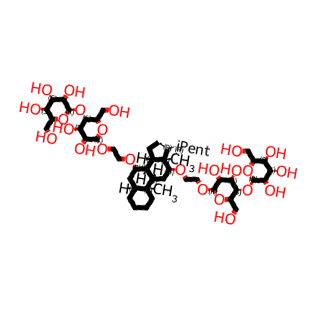 CCC[C@@H](C)[C@H]1CC[C@H]2[C@@H]3[C@H](OCCO[C@@H]4OC(CO)[C@@H](O[C@H]5OC(CO)[C@@H](O)[C@H](O)C5O)[C@H](O)C4O)C[C@@H]4CCCC[C@]4(C)[C@H]3C[C@H](OCCO[C@@H]3OC(CO)[C@@H](O[C@H]4OC(CO)[C@@H](O)[C@H](O)C4O)[C@H](O)C3O)[C@]12C